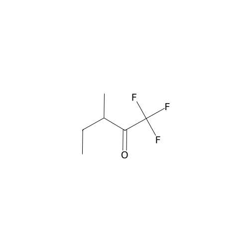 CCC(C)C(=O)C(F)(F)F